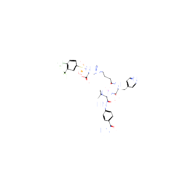 CC(C)[C@H](NC(=O)[C@H](Cc1ccncc1)NC(=O)CCCN(C)C[C@H](NS(=O)(=O)c1ccc(Cl)c(C(F)(F)F)c1)C(=O)O)C(=O)Nc1ccc(C(N)=O)cc1